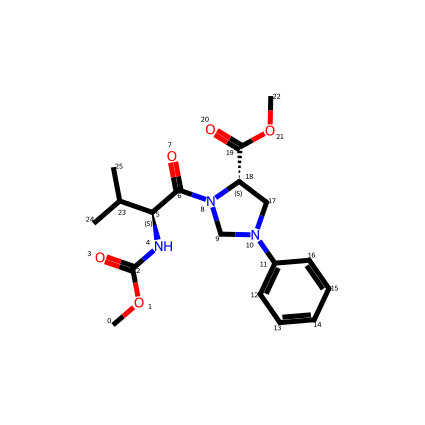 COC(=O)N[C@H](C(=O)N1CN(c2ccccc2)C[C@H]1C(=O)OC)C(C)C